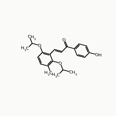 Cc1ccc(OC(C)C)c(C=CC(=O)c2ccc(O)cc2)c1OC(C)C